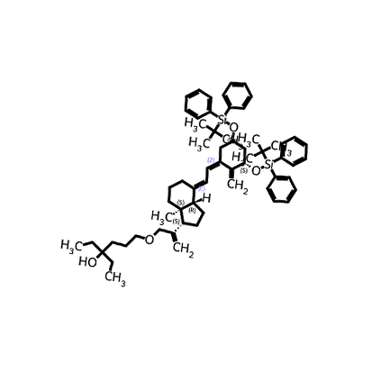 C=C1/C(=C\C=C2/CCC[C@]3(C)[C@@H](C(=C)COCCCC(O)(CC)CC)CC[C@@H]23)C[C@@H](O[Si](c2ccccc2)(c2ccccc2)C(C)(C)C)C[C@@H]1O[Si](c1ccccc1)(c1ccccc1)C(C)(C)C